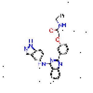 CC(C)CNC(=O)COc1cccc(-c2nc(Nc3ccc4[nH]ncc4c3)c3ccccc3n2)c1